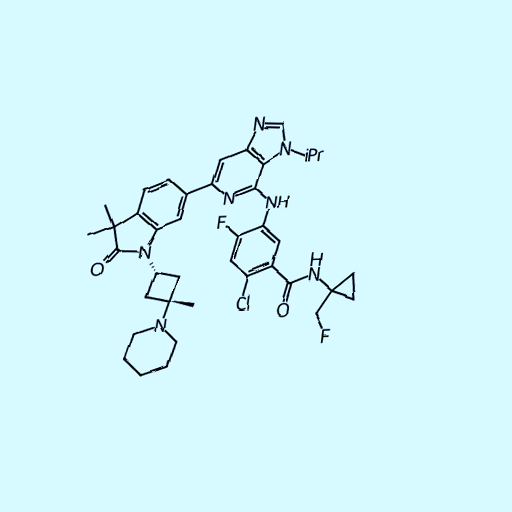 CC(C)n1cnc2cc(-c3ccc4c(c3)N([C@H]3C[C@@](C)(N5CCCCC5)C3)C(=O)C4(C)C)nc(Nc3cc(C(=O)NC4(CF)CC4)c(Cl)cc3F)c21